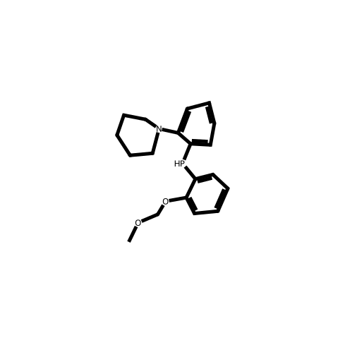 COCOc1ccccc1Pc1ccccc1N1CCCCC1